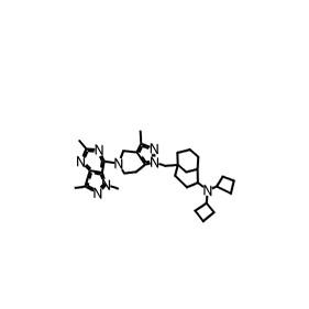 Cc1nc(N2CCc3c(c(C)nn3CC34CCCC(C3)C(N(C3CCC3)C3CCC3)CC4)C2)c2c(n1)c(C)nn2C